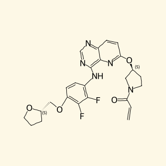 C=CC(=O)N1CC[C@H](Oc2ccc3ncnc(Nc4ccc(OC[C@@H]5CCCO5)c(F)c4F)c3n2)C1